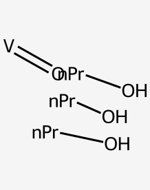 CCCO.CCCO.CCCO.[O]=[V]